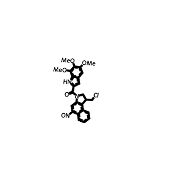 COc1cc2cc(C(=O)N3CC(CCl)c4c3cc(N=O)c3ccccc43)[nH]c2c(OC)c1OC